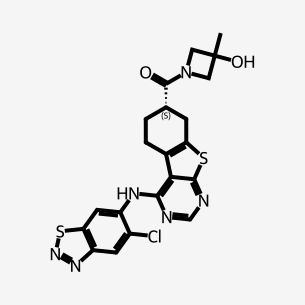 CC1(O)CN(C(=O)[C@H]2CCc3c(sc4ncnc(Nc5cc6snnc6cc5Cl)c34)C2)C1